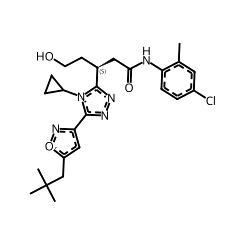 Cc1cc(Cl)ccc1NC(=O)C[C@H](CCO)c1nnc(-c2cc(CC(C)(C)C)on2)n1C1CC1